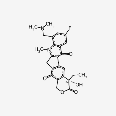 CC[C@@]1(O)C(=O)OCc2c1cc1n(c2=O)Cc2c-1c(=O)c1cc(F)cc(CN(C)C)c1n2C